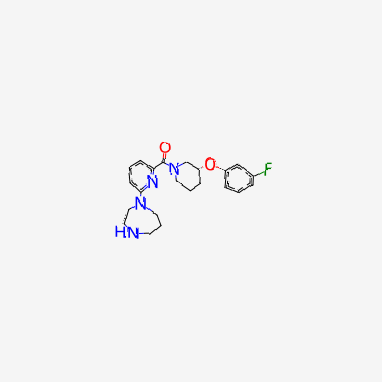 O=C(c1cccc(N2CCCNCC2)n1)N1CCC[C@@H](Oc2cccc(F)c2)C1